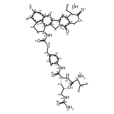 CC[C@@]1(O)C(=O)OCc2c1cc1n(c2=O)Cc2c-1nc1cc(F)c(C)c3c1c2[C@@H](NC(=O)OCc1ccc(NC(=O)[C@@H](CCCNC(N)=O)NC(=O)[C@H](N)C(C)C)cc1)CC3